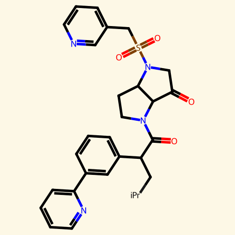 CC(C)CC(C(=O)N1CCC2C1C(=O)CN2S(=O)(=O)Cc1cccnc1)c1cccc(-c2ccccn2)c1